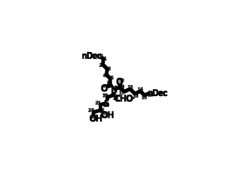 CCCCCCCCCCCCCCCC(=O)N(C(=O)CCCCCCCCCCCCCCC)[C@H]([C]=O)CSCC(O)CO